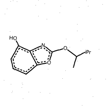 CC(C)C(C)Oc1nc2c(O)cccc2o1